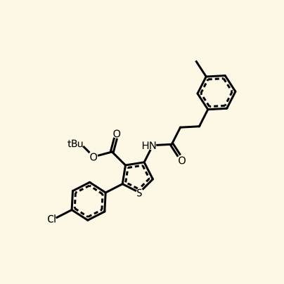 Cc1cccc(CCC(=O)Nc2csc(-c3ccc(Cl)cc3)c2C(=O)OC(C)(C)C)c1